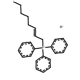 ICCCCC=CC[P+](c1ccccc1)(c1ccccc1)c1ccccc1.[Br-]